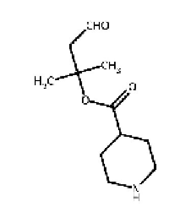 CC(C)(CC=O)OC(=O)C1CCNCC1